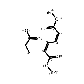 CCC(=O)O.CCCOC(=O)/C=C\C=C/C(=O)OCCC